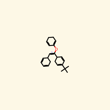 CC(C)(C)C1=CCC(/C(=C\C2C=CC=CC2)OC2=CCCC=C2)C=C1